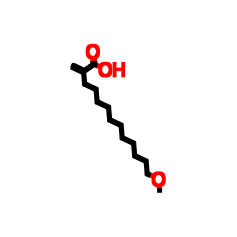 C=C(CCCCCCCCCCCOC)C(=O)O